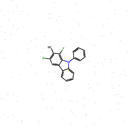 N#Cc1c(F)cc2c3ccccc3n(-c3ccccc3)c2c1F